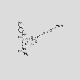 CC(C)C(NC(=O)COCCOCCOCCN=[N+]=[N-])C(=O)NC(CCCNC(N)=O)C(=O)Nc1ccc(CN)cc1